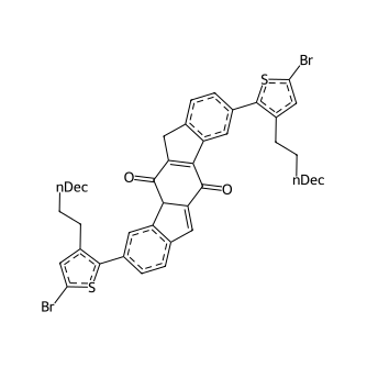 CCCCCCCCCCCCc1cc(Br)sc1-c1ccc2c(c1)C1=C(C2)C(=O)C2C(=Cc3ccc(-c4sc(Br)cc4CCCCCCCCCCCC)cc32)C1=O